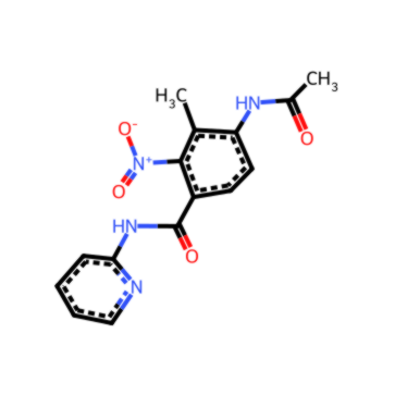 CC(=O)Nc1ccc(C(=O)Nc2ccccn2)c([N+](=O)[O-])c1C